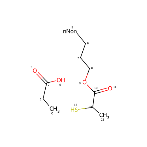 CCC(=O)O.CCCCCCCCCCCCOC(=O)C(C)S